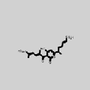 CCCCC/C(C)=C/C=C(\C)C(=O)c1c(O)cc(C(C)CC/C=C/C(=O)O)oc1=O